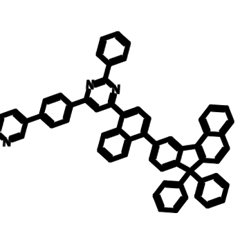 c1ccc(-c2nc(-c3ccc(-c4cccnc4)cc3)cc(-c3ccc(-c4ccc5c(c4)-c4c(ccc6ccccc46)C5(c4ccccc4)c4ccccc4)c4ccccc34)n2)cc1